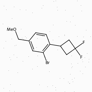 COCc1ccc(C2CC(F)(F)C2)c(Br)c1